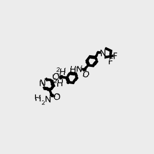 [2H]C([2H])(Oc1cncc(C(N)=O)c1)c1cccc(NC(=O)c2ccc(CN3CCC(F)(F)C3)cc2)c1